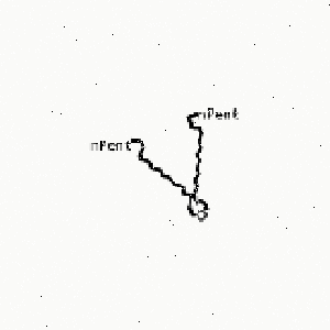 CCCCC/C=C\C/C=C\CCCCCCCCC(CCCCCCCC/C=C\C/C=C\CCCCC)N1CCOCC1